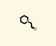 O=CCN1CC[CH]CC1